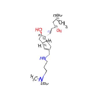 CCCC[C@H](C)C[C@H](O)/C=C/[C@@H]1[C@H]2CC(CNCCCN(C)C(C)(C)C)=C[C@H]2C[C@H]1O